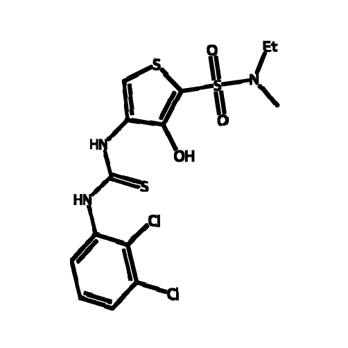 CCN(C)S(=O)(=O)c1scc(NC(=S)Nc2cccc(Cl)c2Cl)c1O